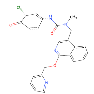 CN(Cc1cnc(OCc2ccccn2)c2ccccc12)C(=O)NC1=C[C@@H](Cl)C(=O)C=C1